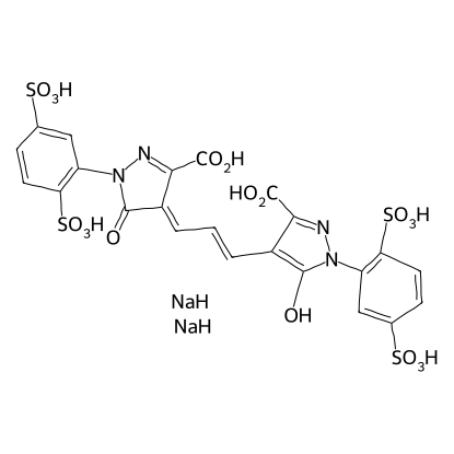 O=C(O)C1=NN(c2cc(S(=O)(=O)O)ccc2S(=O)(=O)O)C(=O)/C1=C/C=C/c1c(C(=O)O)nn(-c2cc(S(=O)(=O)O)ccc2S(=O)(=O)O)c1O.[NaH].[NaH]